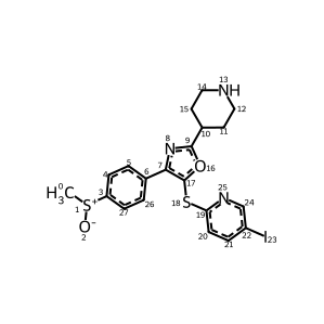 C[S+]([O-])c1ccc(-c2nc(C3CCNCC3)oc2Sc2ccc(I)cn2)cc1